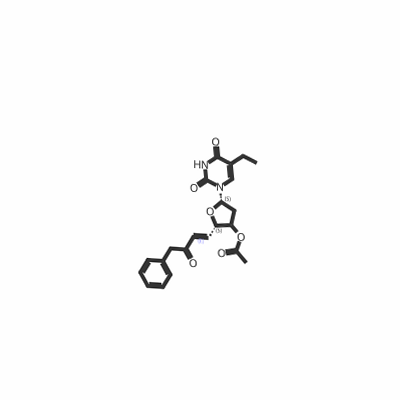 CCc1cn([C@@H]2CC(OC(C)=O)[C@H](/C=C/C(=O)Cc3ccccc3)O2)c(=O)[nH]c1=O